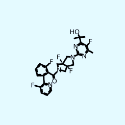 Cc1nc(N2C[C@]3(F)CN(C(=O)c4c(F)cccc4-c4ncccc4F)C[C@]3(F)C2)nc(C(C)(C)O)c1F